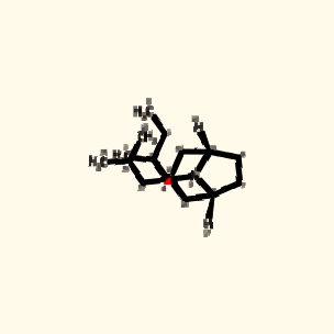 CCC(C)CN1[C@@H]2CC[C@H]1CN(CC(C)C)C2